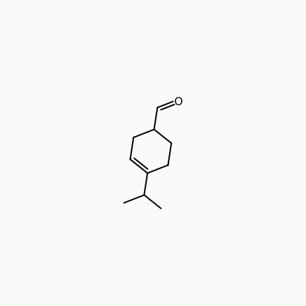 CC(C)C1=CCC(C=O)CC1